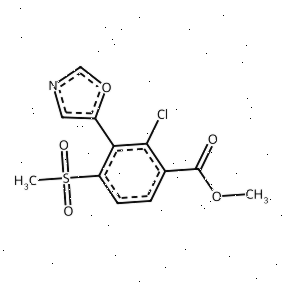 COC(=O)c1ccc(S(C)(=O)=O)c(-c2cnco2)c1Cl